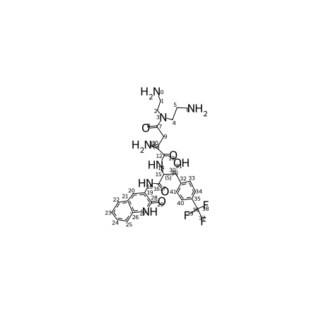 NCCN(CCN)C(=O)C[C@H](N)C(=O)N[C@H](C(=O)Nc1cc2ccccc2[nH]c1=O)[C@H](O)c1ccc(C(F)(F)F)cc1